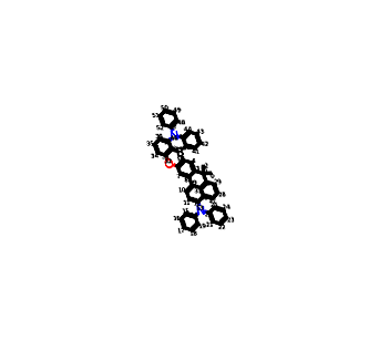 CC1(C)c2cc3c(cc2-c2ccc(N(c4ccccc4)c4ccccc4)c4cccc1c24)Oc1cccc2c1B3c1ccccc1N2c1ccccc1